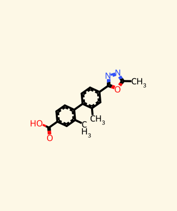 Cc1nnc(-c2ccc(-c3ccc(C(=O)O)cc3C)c(C)c2)o1